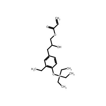 C=CC(=O)OCC(O)Cc1ccc(O[Si](CC)(CC)CC)c(CC)c1